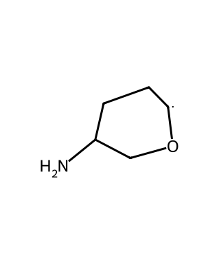 NC1CC[CH]OC1